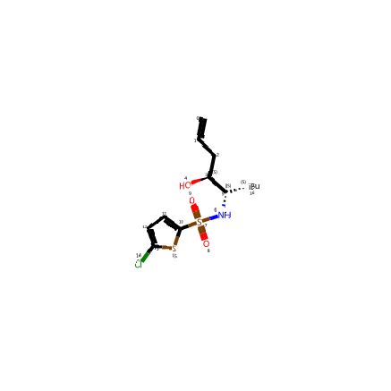 C=CC[C@H](O)[C@@H](NS(=O)(=O)c1ccc(Cl)s1)[C@@H](C)CC